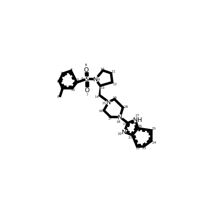 Cc1cccc(S(=O)(=O)N2CCC[C@H]2CN2CCN(c3nc4ccccc4[nH]3)CC2)c1